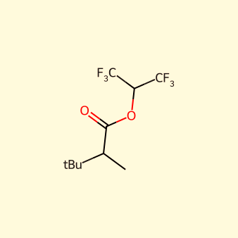 CC(C(=O)OC(C(F)(F)F)C(F)(F)F)C(C)(C)C